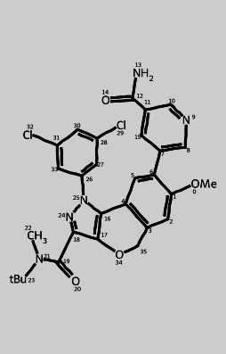 COc1cc2c(cc1-c1cncc(C(N)=O)c1)-c1c(c(C(=O)N(C)C(C)(C)C)nn1-c1cc(Cl)cc(Cl)c1)OC2